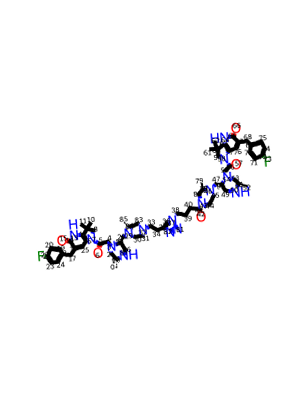 C[C@@H]1CN(CC(=O)N2CC(C)(C)c3[nH]c(=O)c(Cc4ccc(F)cc4)cc32)[C@@H](CN2CCN(CCc3cn(CCCC(=O)N4CCN(C[C@H]5CN[C@H](C)CN5CC(=O)N5CC(C)(C)c6[nH]c(=O)c(Cc7ccc(F)cc7)cc65)[C@H](C)C4)nn3)C[C@H]2C)CN1